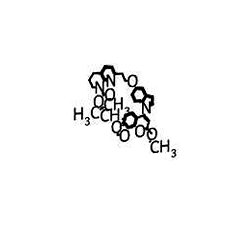 CCOC(=O)C=C(c1ccc2c(c1)OCO2)n1ccc2cc(OCCc3ccc4c(n3)N(C(=O)OC(C)(C)C)CCC4)ccc21